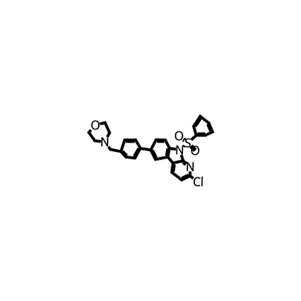 O=S(=O)(c1ccccc1)n1c2ccc(-c3ccc(CN4CCOCC4)cc3)cc2c2ccc(Cl)nc21